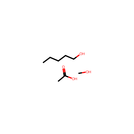 CC(=O)O.CCCCCO.CO